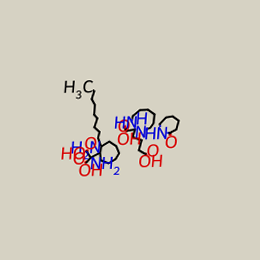 CCCCCCCCCC1CCCCCCC1(N)C(N)(C(=O)O)C(=O)O.O=C(O)CCCC1(C(=O)O)NCCCCCCN1.O=C1CCCCCN1